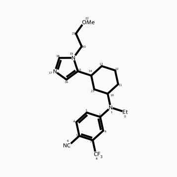 CCN(c1ccc(C#N)c(C(F)(F)F)c1)C1CCCC(c2cncn2CCOC)C1